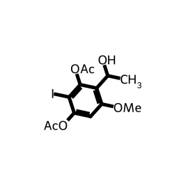 COc1cc(OC(C)=O)c(I)c(OC(C)=O)c1C(C)O